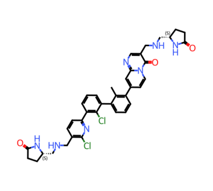 Cc1c(-c2ccn3c(=O)c(CNC[C@@H]4CCC(=O)N4)cnc3c2)cccc1-c1cccc(-c2ccc(CNC[C@@H]3CCC(=O)N3)c(Cl)n2)c1Cl